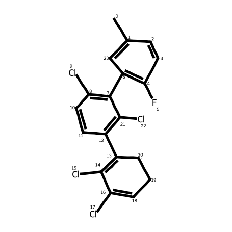 Cc1ccc(F)c(-c2c(Cl)ccc(C3=C(Cl)C(Cl)=CC[CH]3)c2Cl)c1